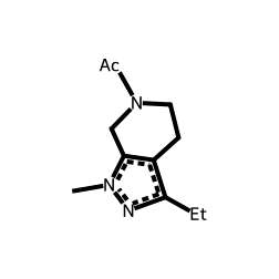 CCc1nn(C)c2c1CCN(C(C)=O)C2